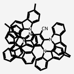 Cc1ccc2c(c1)c1ccccc1n2-c1c(C#N)c(-n2c3ccccc3c3cc(C)ccc32)c(-n2c3ccccc3c3cc(C)ccc32)c(-c2cccc3c2C2(c4ccccc4-3)c3ccccc3-c3ncccc32)c1-n1c2ccccc2c2cc(C)ccc21